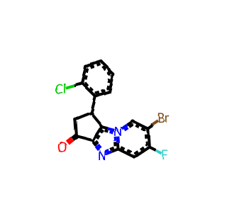 O=C1CC(c2ccccc2Cl)c2c1nc1cc(F)c(Br)cn21